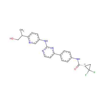 CC(CO)c1ccc(Nc2nccc(-c3ccc(NC(=O)[C@@H]4CC4(F)F)cc3)n2)cn1